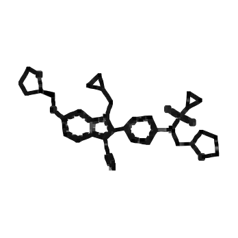 N#Cc1c(-c2ccc(N(CC3CCCO3)S(=O)(=O)C3CC3)cc2)n(CC2CC2)c2cc(OC[C@H]3CCCO3)ccc12